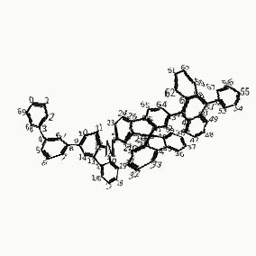 c1ccc(-c2cccc(-c3ccc4c(c3)c3ccccc3n4-c3ccc4c(c3)C3(c5ccccc5-c5ccccc53)c3cc(-c5c6ccccc6c(-c6ccccc6)c6ccccc56)ccc3-4)c2)cc1